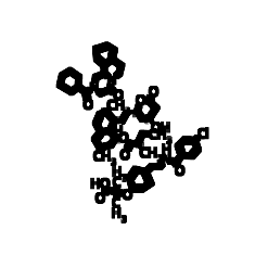 CC(C)(Oc1ccc(CCNC(=O)c2ccc(Cl)cc2)cc1)C(=O)O.CC[C@H](C)C(=O)O[C@H]1C[C@@H](C)C=C2C=C[C@H](C)[C@H](CC[C@@H]3C[C@@H](O)CC(=O)O3)[C@H]21.O=C(C1CCCCC1)N1CC(=O)N2CCc3ccccc3C2C1